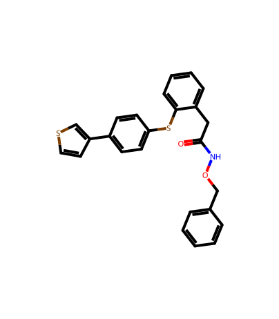 O=C(Cc1ccccc1Sc1ccc(-c2ccsc2)cc1)NOCc1ccccc1